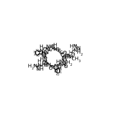 CC(=O)N[C@@H](CCCNC(=N)N)C(=O)NC1CCCCNC(=O)CC(C(N)=O)NC(=O)[C@H](Cc2c[nH]c3ccccc23)NC(=O)[C@H](CCCNC(=N)N)NC(=O)C(Cc2ccccc2)NC(=O)[C@H](CC(N)=O)NC1=O